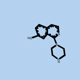 Oc1ccc2ccnc(N3CCNCC3)c2c1